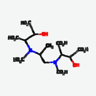 CC(CN(C(=O)O)C(C(=O)O)C(O)C(=O)O)N(C(=O)O)C(C(=O)O)C(O)C(=O)O